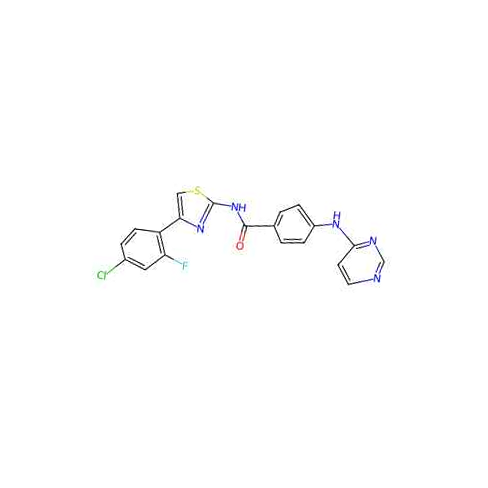 O=C(Nc1nc(-c2ccc(Cl)cc2F)cs1)c1ccc(Nc2ccncn2)cc1